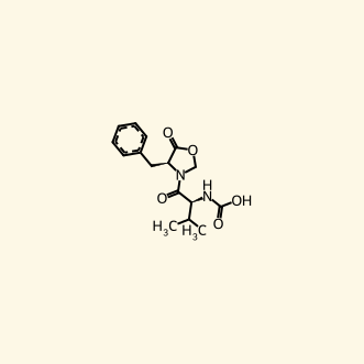 CC(C)[C@H](NC(=O)O)C(=O)N1COC(=O)[C@@H]1Cc1ccccc1